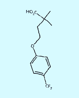 CC(C)(CCOc1ccc(C(F)(F)F)cc1)C(=O)O